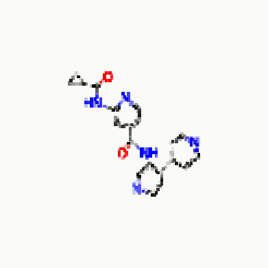 O=C(Nc1cnccc1-c1ccncc1)c1ccnc(NC(=O)C2CC2)c1